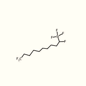 FC(CCCCCCCCC(F)(F)F)[Si](F)(F)F